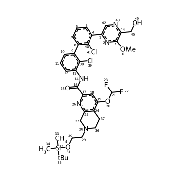 COc1nc(-c2cccc(-c3cccc(NC(=O)c4cc(OC(F)F)c5c(n4)CN(CCO[Si](C)(C)C(C)(C)C)CC5)c3Cl)c2Cl)cnc1CO